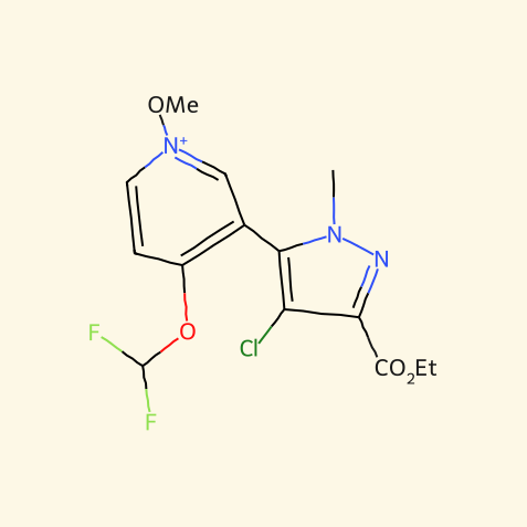 CCOC(=O)c1nn(C)c(-c2c[n+](OC)ccc2OC(F)F)c1Cl